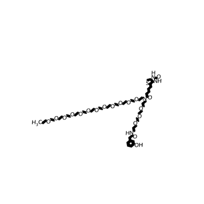 CCCOCCOCCOCCOCCOCCOCCOCCOCCOCCOCCOCCOCCN(CCCOCCOCCOCCCNC(=O)Cc1cccc(O)c1)C(=O)CCCCC1SCC2NC(=O)NC21